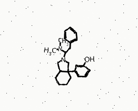 CN(C)C(Cc1ccccc1)N1CC2CCCCC2(c2cccc(O)c2)C1